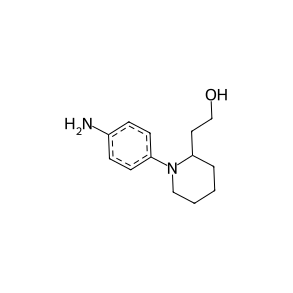 Nc1ccc(N2CCCCC2CCO)cc1